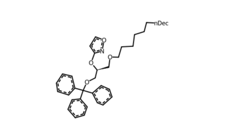 CCCCCCCCCCCCCCCCOC[C@@H](COC(c1ccccc1)(c1ccccc1)c1ccccc1)Oc1ccon1